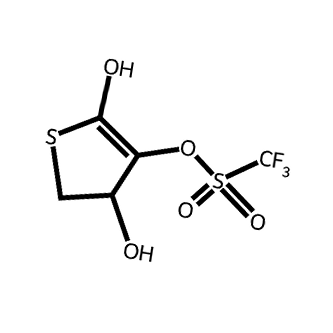 O=S(=O)(OC1=C(O)SCC1O)C(F)(F)F